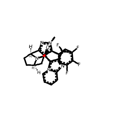 Cn1nc2c(c1-c1cc(F)c(F)c(F)c1)C[C@H]1CC[C@@H]2N1C(=O)c1c(C(F)F)nc2ccccn12